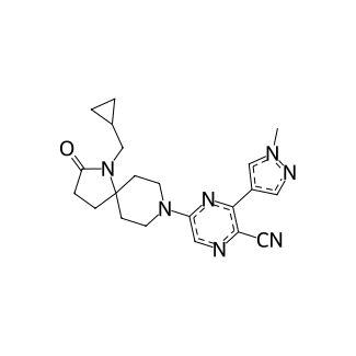 Cn1cc(-c2nc(N3CCC4(CCC(=O)N4CC4CC4)CC3)cnc2C#N)cn1